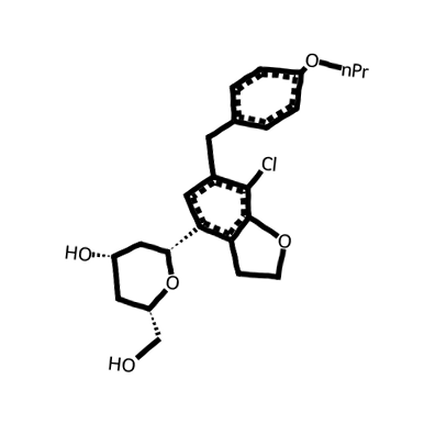 CCCOc1ccc(Cc2cc([C@H]3C[C@@H](O)C[C@@H](CO)O3)c3c(c2Cl)OCC3)cc1